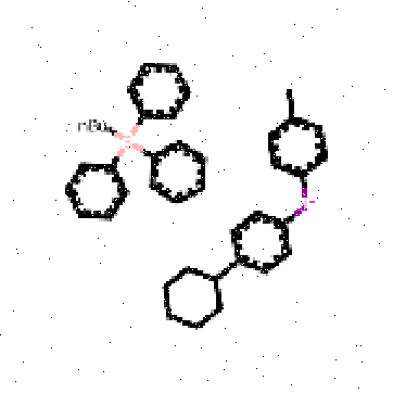 CCCC[B-](c1ccccc1)(c1ccccc1)c1ccccc1.Cc1ccc([I+]c2ccc(C3CCCCC3)cc2)cc1